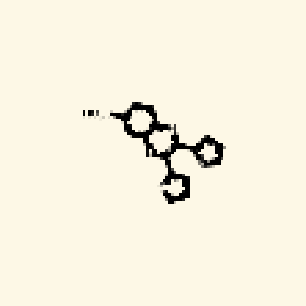 O=C(O)c1ccc2nc(-c3cccs3)c(-c3cccs3)nc2c1